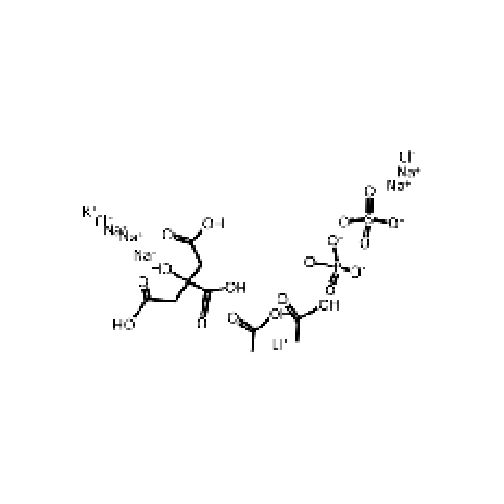 CC(=O)O.CC(=O)O.O=C(O)CC(O)(CC(=O)O)C(=O)O.O=P([O-])([O-])[O-].O=S(=O)([O-])[O-].[Cl-].[Cl-].[K+].[Li+].[Na+].[Na+].[Na+].[Na+].[Na+]